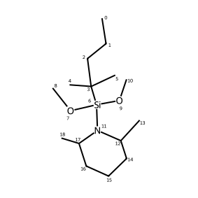 CCCC(C)(C)[Si](OC)(OC)N1C(C)CCCC1C